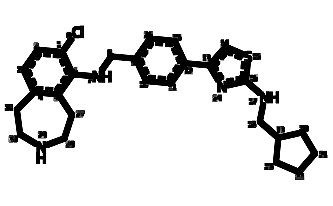 Clc1ccc2c(c1NCc1ccc(-c3csc(NCC4CCCC4)n3)cc1)CCNCC2